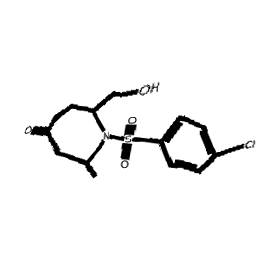 CC1CC(=O)CC(CO)N1S(=O)(=O)c1ccc(Cl)cc1